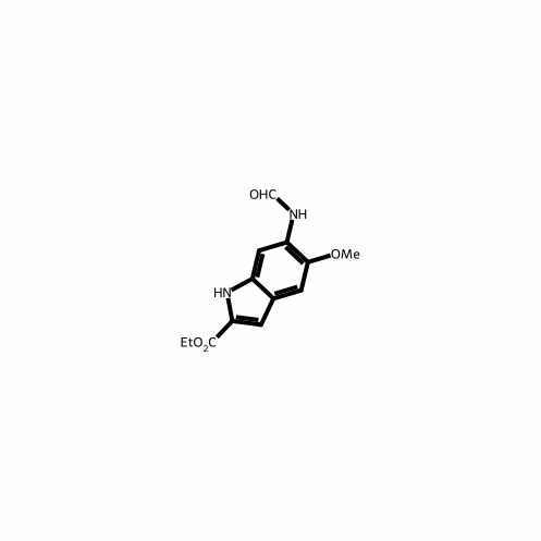 CCOC(=O)c1cc2cc(OC)c(NC=O)cc2[nH]1